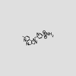 Cc1ccc2c(ncc3cnn(Cc4ccc(S(N)(=O)=O)cn4)c32)n1